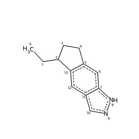 CCC1CCc2cc3[nH]ncc3cc21